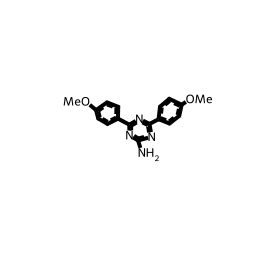 COc1ccc(-c2nc(N)nc(-c3ccc(OC)cc3)n2)cc1